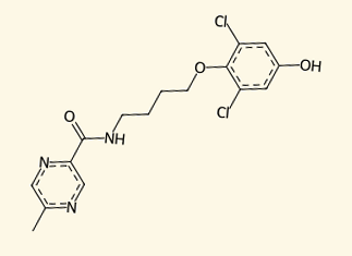 Cc1cnc(C(=O)NCCCCOc2c(Cl)cc(O)cc2Cl)cn1